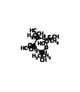 C#CC(C)(C)c1cc2c(O)c(c1)Cc1cc(C(C)(C)C#C)cc(c1O)Cc1cc(C(C)(C)C#C)cc(c1O)Cc1cc(C(C)(C)C#C)cc(c1O)COC2